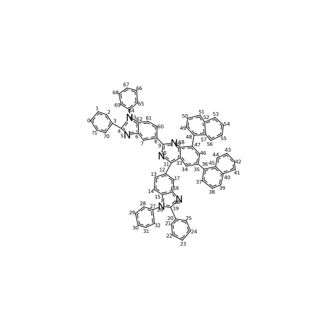 c1ccc(-c2nc3cc(-c4nc(-c5ccc6c(c5)nc(-c5ccccc5)n6-c5ccccc5)c5cc(-c6cccc7ccccc67)cc(-c6cccc7ccccc67)c5n4)ccc3n2-c2ccccc2)cc1